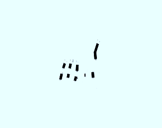 C=C.CC.N=C=O.N=C=O.N=C=O.N=C=O